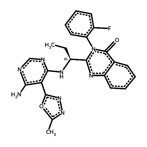 CC[C@H](Nc1ncnc(N)c1-c1nnc(C)o1)c1nc2ccccc2c(=O)n1-c1ccccc1F